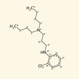 CCCCN(CCCC)CCCNc1cc[c]cc1Cl